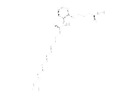 CCCCCCCCCCCCCC(=S)Nc1ccccc1SCCCC(=O)O